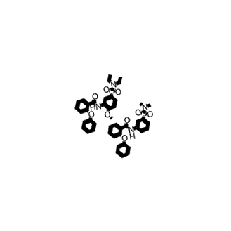 CCN(CC)S(=O)(=O)c1ccc(OC)c(NC(=O)c2ccccc2Oc2ccccc2)c1.CN(C)S(=O)(=O)c1cccc(NC(=O)c2ccccc2Oc2ccccc2)c1